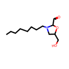 CCCCCCCCN1CC(CO)OC1C=O